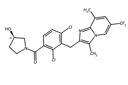 Cc1cc(C(F)(F)F)cn2c(C)c(Cc3c(Cl)ccc(C(=O)N4CC[C@@H](O)C4)c3Cl)nc12